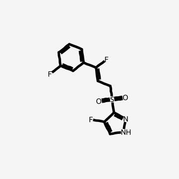 O=S(=O)(CC=C(F)c1cccc(F)c1)c1n[nH]cc1F